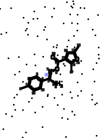 Cc1ccc(/C(N)=N/OC(=O)c2cc(C)oc2C)cc1